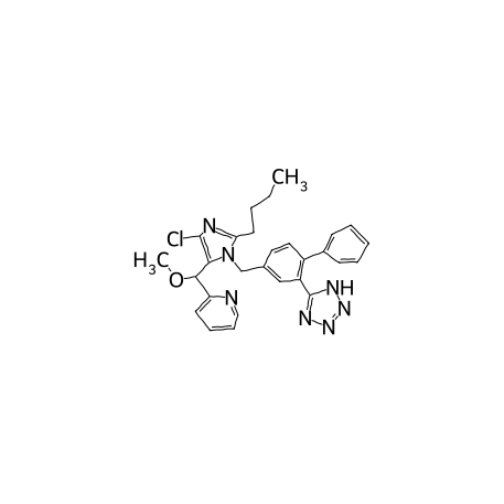 CCCCc1nc(Cl)c(C(OC)c2ccccn2)n1Cc1ccc(-c2ccccc2)c(-c2nnn[nH]2)c1